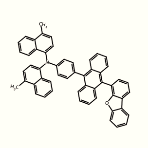 Cc1ccc(N(c2ccc(-c3c4ccccc4c(-c4cccc5c4oc4ccccc45)c4ccccc34)cc2)c2ccc(C)c3ccccc23)c2ccccc12